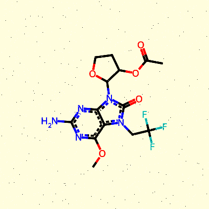 COc1nc(N)nc2c1n(CC(F)(F)F)c(=O)n2C1OCCC1OC(C)=O